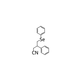 N#CCC(C[Se]c1ccccc1)c1ccccc1